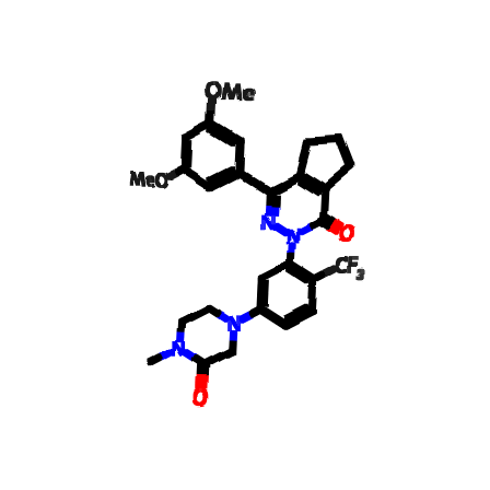 COc1cc(OC)cc(-c2nn(-c3cc(N4CCN(C)C(=O)C4)ccc3C(F)(F)F)c(=O)c3c2CCC3)c1